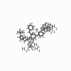 CC(C)(C)OC(=O)/C(=C/c1ccc(C(F)(F)F)o1)Nc1ncc(-c2cccc(O[Si](C)(C)C(C)(C)C)c2F)nc1Cc1ccccc1